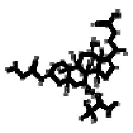 CNC(=O)C(F)(F)F.CNCC(=O)O[C@@H]1CC[C@@]2(C)[C@@H](C1)C[C@@H](O)[C@@H]1[C@@H]2C[C@H](O)[C@]2(C)[C@@H]([C@H](C)CCC(=O)O)CC[C@@H]12